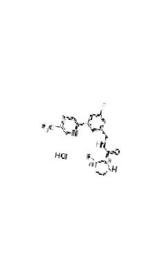 Cl.O=C(NCc1cc(F)cc(-c2cnc(C(F)(F)F)cn2)c1)[C@H]1NCC[C@@H]1F